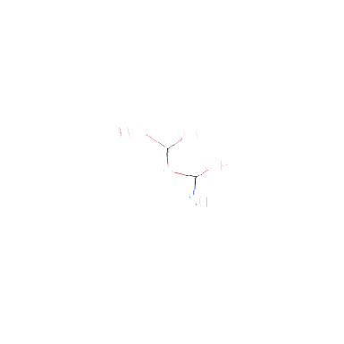 NC(O)OC(O)O